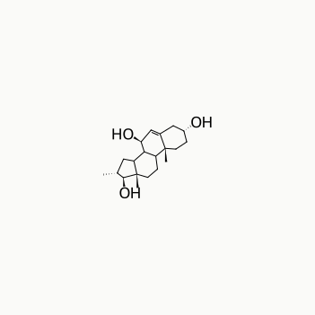 C[C@@H]1CC2C3C(CC[C@]2(C)[C@H]1O)[C@@]1(C)CC[C@@H](O)CC1=C[C@@H]3O